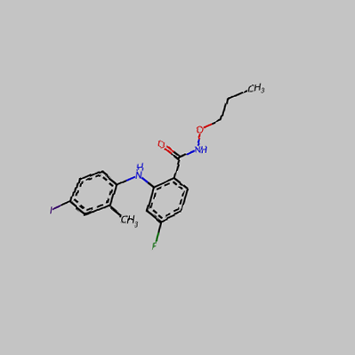 CCCONC(=O)c1ccc(F)cc1Nc1ccc(I)cc1C